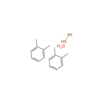 Cc1ccccc1C.Cc1ccccc1C.O.SS